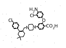 CC1(C)CCC(CN2CCN(c3ccc(C(=O)O)c(Oc4ccc(N)c(Cl)c4)c3)CC2)=C(c2ccc(Cl)cc2)C1